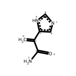 C=C(C(N)=O)c1cnc[nH]1